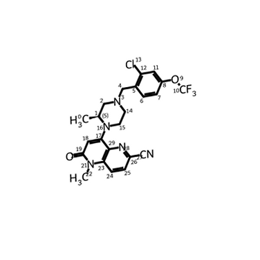 C[C@H]1CN(Cc2ccc(OC(F)(F)F)cc2Cl)CCN1c1cc(=O)n(C)c2ccc(C#N)nc12